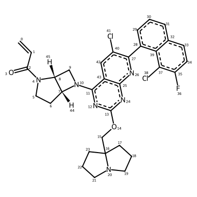 C=CC(=O)N1CC[C@@H]2[C@H]1CN2c1nc(OCC23CCCN2CCC3)nc2nc(-c3cccc4ccc(F)c(Cl)c34)c(Cl)cc12